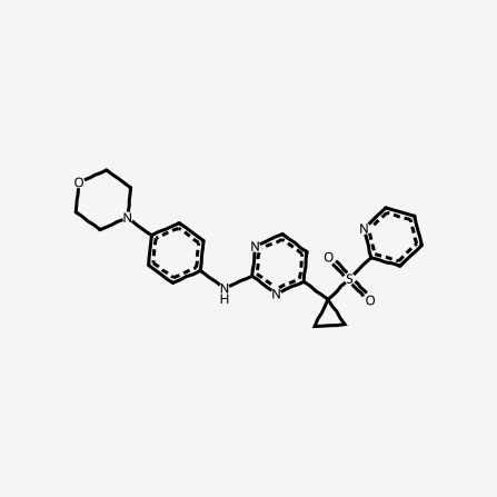 O=S(=O)(c1ccccn1)C1(c2ccnc(Nc3ccc(N4CCOCC4)cc3)n2)CC1